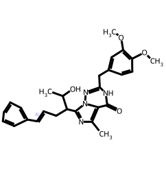 COc1ccc(Cc2nn3c(C(C/C=C/c4ccccc4)C(C)O)nc(C)c3c(=O)[nH]2)cc1OC